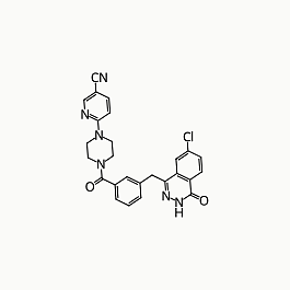 N#Cc1ccc(N2CCN(C(=O)c3cccc(Cc4n[nH]c(=O)c5ccc(Cl)cc45)c3)CC2)nc1